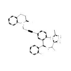 Cc1nnc2n1-c1ccc(C#CCN3C(=O)CCc4ccccc43)cc1C(c1ccccc1F)=NC2C